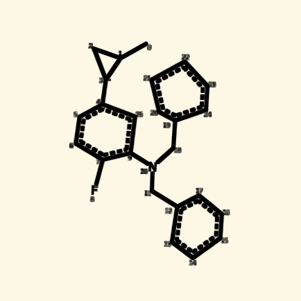 CC1C[C]1c1ccc(F)c(N(Cc2ccccc2)Cc2ccccc2)c1